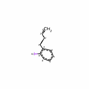 C=CCCc1ccccc1I